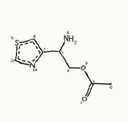 CC(=O)OCC(N)c1cscn1